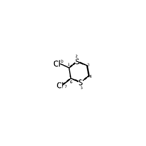 ClC1SCCSC1Cl